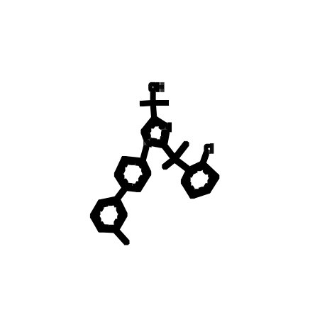 Cc1cccc(-c2ccc(-n3cc(C(C)(C)O)nc3C(C)(C)c3ccccc3Cl)cc2)c1